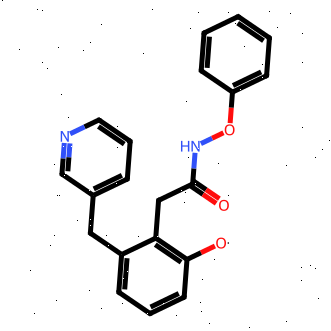 [O]c1cccc(Cc2cccnc2)c1CC(=O)NOc1ccccc1